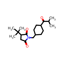 CC(C)C(=O)C1CCC(CN2C(=O)CC(C(C)(C)C)C2=O)CC1